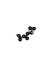 CC1C=Cc2c(c3ccccc3n2-c2ccc3c(c2)c2ccccc2n3-c2ccc3sc4c(-n5c6ccccc6c6ccccc65)nccc4c3c2)C1